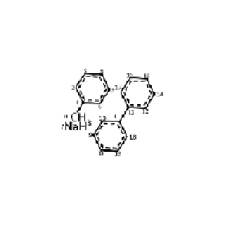 Cc1ccccc1.[NaH].c1ccc(-c2ccccc2)cc1